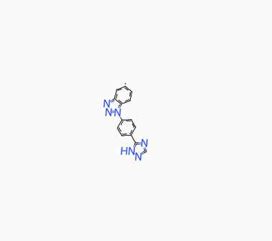 [c]1ccc2c(c1)nnn2-c1ccc(-c2ncn[nH]2)cc1